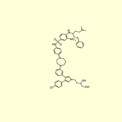 CN(C)CCC(CSc1ccccc1)Nc1ccc(S(=O)(=O)Nc2ccc(N3CCCN(c4cccc(-c5cn(CCC(O)CO)cc5-c5ccc(Cl)cc5)c4)CC3)cc2)cc1[N+](=O)[O-]